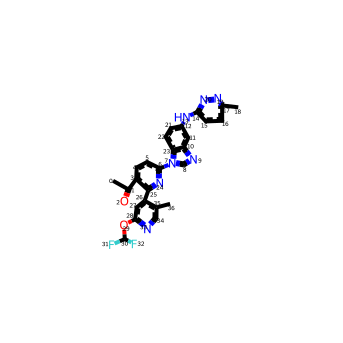 CC(=O)c1ccc(-n2cnc3cc(Nc4ccc(C)nn4)ccc32)nc1-c1cc(OC(F)F)ncc1C